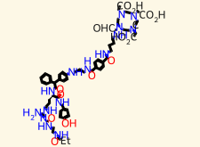 CCC(=O)NCCNC(=O)/N=C(/N)NCCC[C@@H](NC(=O)C(c1ccccc1)c1ccc(NCCCNC(=O)c2ccc(C(=O)NCCCCNC(C=O)N3CCN(CC(=O)O)CCN(CC(=O)O)CCN(CC(=O)O)CC3)cc2)cc1)C(=O)NCc1ccc(O)cc1